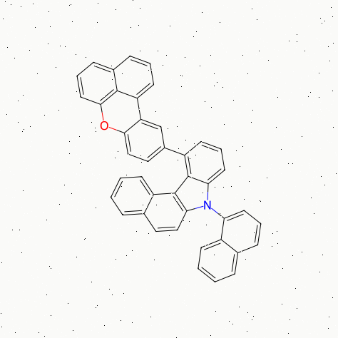 c1ccc2c(-n3c4cccc(-c5ccc6c(c5)-c5cccc7cccc(c57)O6)c4c4c5ccccc5ccc43)cccc2c1